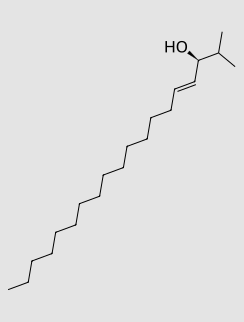 CCCCCCCCCCCCCC/C=C/[C@@H](O)C(C)C